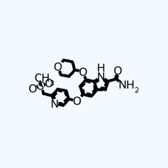 CS(=O)(=O)Cc1ccc(Oc2cc(OC3CCOCC3)c3[nH]c(C(N)=O)cc3c2)cn1